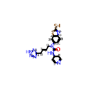 O=C(Nc1ccncc1)N(CCCCc1nn[nH]n1)c1ccc2nc(S)sc2c1